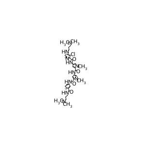 CN(C)CCCNC(=O)c1cc(NC(=O)c2cc(NC(=O)c3cc(NC(=O)c4nsc(NCCCN(C)C)c4Cl)cn3C)cn2C)cs1